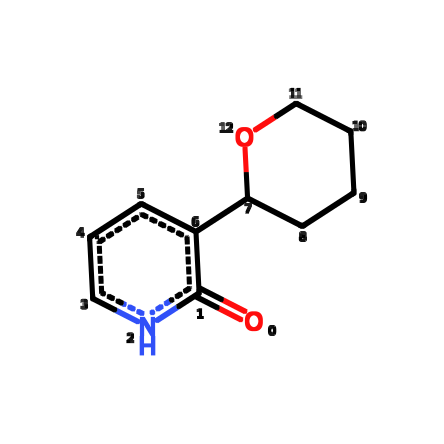 O=c1[nH]c[c]cc1C1CCCCO1